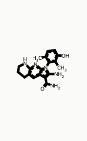 Cc1ccc(O)c(C)c1-n1c(N)c(C(N)=O)c2cc3c(nc21)NCCC3